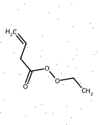 C=CCC(=O)OOCC